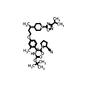 Cc1cc(OCCC(C)C2CCN(c3nc(C(C)C)no3)CC2)ccc1[C@H](NC(=O)OC(C)(C)C)C(=O)N1CCCC1C#N